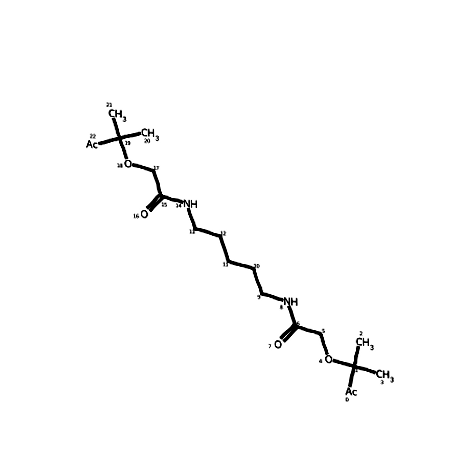 CC(=O)C(C)(C)OCC(=O)NCCCCCNC(=O)COC(C)(C)C(C)=O